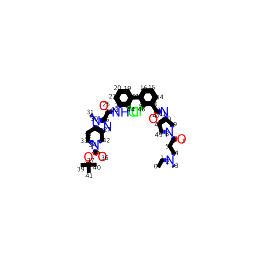 CCN(C)CCC(=O)N1Cc2nc(-c3cccc(-c4cccc(NC(=O)c5nc6c(n5C)CCN(C(=O)OC(C)(C)C)C6)c4Cl)c3Cl)oc2C1